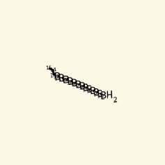 BB=BB=BB=BB=BB=BB=BCCC